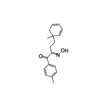 Cc1ccc(C(=O)C(CCC2(C)C=CC=CC2)=NO)cc1